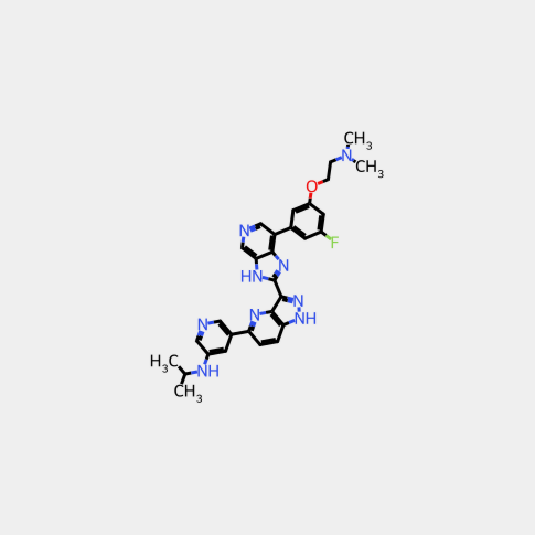 CC(C)Nc1cncc(-c2ccc3[nH]nc(-c4nc5c(-c6cc(F)cc(OCCN(C)C)c6)cncc5[nH]4)c3n2)c1